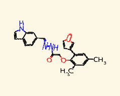 Cc1cc(C)c(OCC(=O)NN=Cc2ccc3cc[nH]c3c2)c(-c2ccoc2)c1